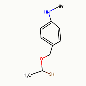 CC(C)Nc1ccc(COC(C)S)cc1